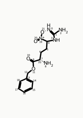 N=C(N)NC(CC[C@H](N)C(=O)OCc1ccccc1)[N+](=O)[O-]